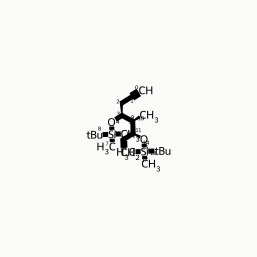 C#CC[C@H](O[Si](C)(C)C(C)(C)C)[C@@H](C)[C@H](C=C)O[Si](C)(C)C(C)(C)C